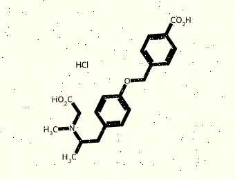 CC(Cc1ccc(OCc2ccc(C(=O)O)cc2)cc1)N(C)CC(=O)O.Cl